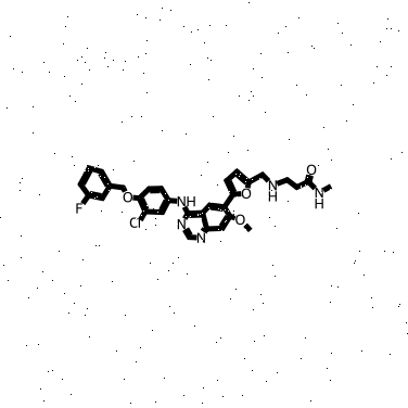 CNC(=O)CCNCc1ccc(-c2cc3c(Nc4ccc(OCc5cccc(F)c5)c(Cl)c4)ncnc3cc2OC)o1